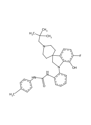 Cc1ccc(NC(=O)Nc2ccccc2N2CC3(CCN(CC(C)(C)C)CC3)c3ccc(F)c(O)c32)cc1